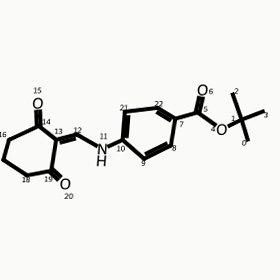 CC(C)(C)OC(=O)c1ccc(NC=C2C(=O)CCCC2=O)cc1